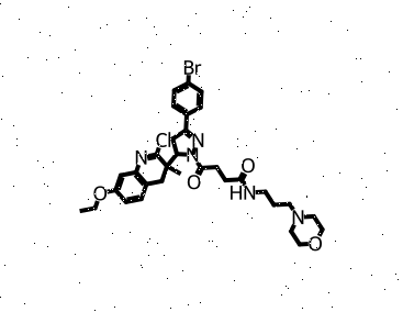 CCOc1ccc2c(c1)N=C(Cl)C(C)(C1CC(c3ccc(Br)cc3)=NN1C(=O)CCC(=O)NCCCN1CCOCC1)C2